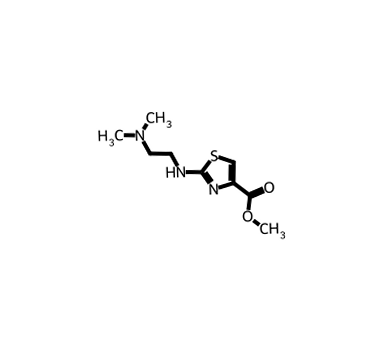 COC(=O)c1csc(NCCN(C)C)n1